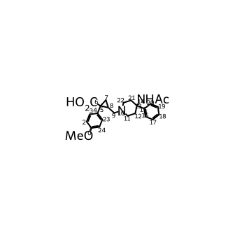 COc1ccc(C2(C(=O)O)CC2CN2CCC(NC(C)=O)(c3ccccc3)CC2)cc1